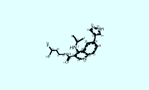 CC(C)Nc1c(C(=O)NCCC(F)F)cnc2ccc(-c3cn[nH]c3)cc12